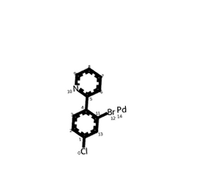 Clc1ccc(-c2ccccn2)c(Br)c1.[Pd]